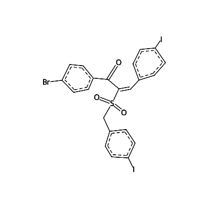 O=C(/C(=C\c1ccc(I)cc1)S(=O)(=O)Cc1ccc(I)cc1)c1ccc(Br)cc1